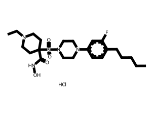 CCCCCc1ccc(N2CCN(S(=O)(=O)C3(C(=O)NO)CCN(CC)CC3)CC2)cc1F.Cl